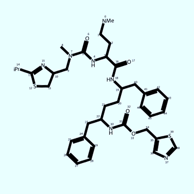 CNCCC(NC(=O)N(C)CC1CSC(C(C)C)=N1)C(=O)NC(CCC(Cc1ccccc1)NC(=O)OCc1cncs1)Cc1ccccc1